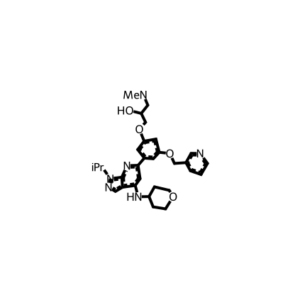 CNCC(O)COc1cc(OCc2cccnc2)cc(-c2cc(NC3CCOCC3)c3cnn(C(C)C)c3n2)c1